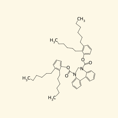 CCCCCCc1cccc(OC(=O)N2CN(C(=O)Oc3cccc(CCCCCC)c3CCCCCC)c3ccccc3-c3ccccc32)c1CCCCCC